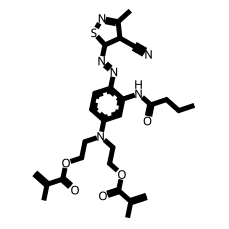 C=C(C)C(=O)OCCN(CCOC(=O)C(=C)C)c1ccc(/N=N/C2SN=C(C)C2C#N)c(NC(=O)CCC)c1